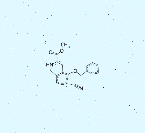 COC(=O)C1Cc2c(ccc(C#N)c2OCc2ccccc2)CN1